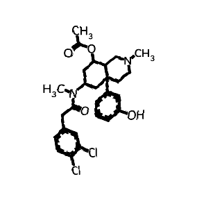 CC(=O)OC1CC(N(C)C(=O)Cc2ccc(Cl)c(Cl)c2)CC2(c3cccc(O)c3)CCN(C)CC12